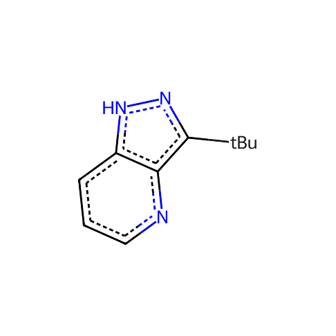 CC(C)(C)c1n[nH]c2cccnc12